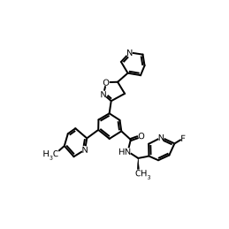 Cc1ccc(-c2cc(C(=O)N[C@H](C)c3ccc(F)nc3)cc(C3=NOC(c4cccnc4)C3)c2)nc1